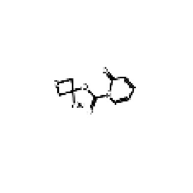 CCCCC1(OC(=O)n2ccccc2=O)COC1